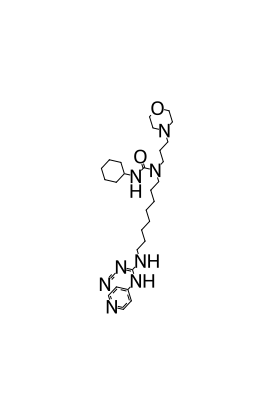 N#CN=C(NCCCCCCCCN(CCCN1CCOCC1)C(=O)NC1CCCCC1)Nc1ccncc1